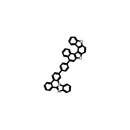 c1ccc2c(c1)nc1c3ccccc3c3ccc(-c4ccc(-c5cc6oc7ccc8oc9ccccc9c8c7c6c6ccccc56)cc4)cc3n21